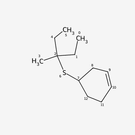 CCC(C)(CC)SC1CC=CCC1